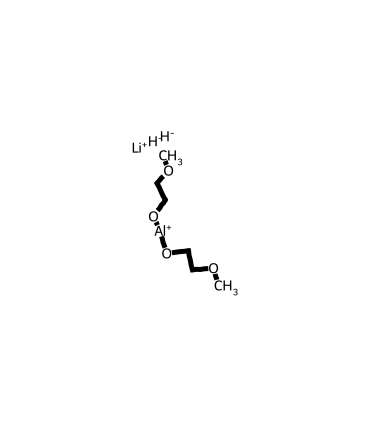 COCC[O][Al+][O]CCOC.[H-].[H-].[Li+]